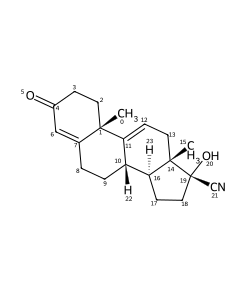 C[C@]12CCC(=O)C=C1CC[C@@H]1C2=CC[C@@]2(C)[C@H]1CC[C@]2(O)C#N